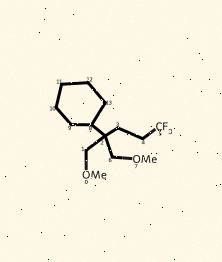 COCC(CCC(F)(F)F)(COC)C1CCCCC1